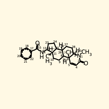 CN1C(=O)C=C[C@]2(C)[C@H]3CC[C@]4(C)C(NC(=O)c5ccccc5)CC[C@H]4[C@@H]3CC[C@@H]12